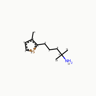 Cc1ccsc1CCCC(C)(C)N